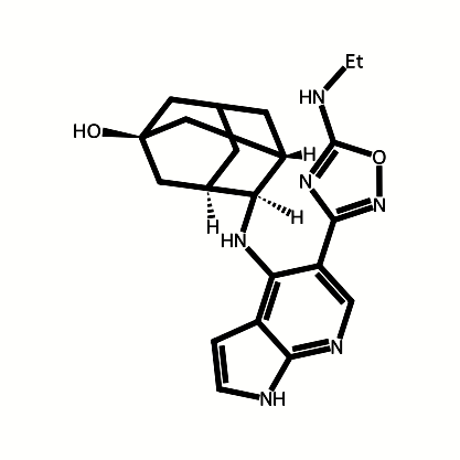 CCNc1nc(-c2cnc3[nH]ccc3c2N[C@H]2[C@@H]3CC4C[C@H]2C[C@@](O)(C4)C3)no1